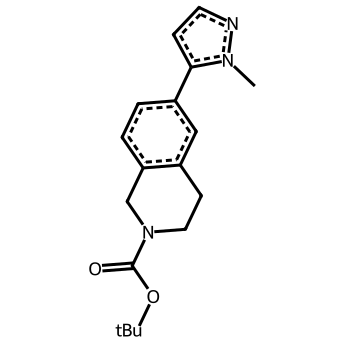 Cn1nccc1-c1ccc2c(c1)CCN(C(=O)OC(C)(C)C)C2